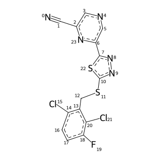 N#Cc1cncc(-c2nnc(SCc3c(Cl)ccc(F)c3Cl)s2)n1